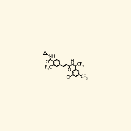 O=C(/C=C/c1ccc(C(=O)NC2CC2)c(C(F)(F)F)c1)NC(c1cc(Cl)cc(C(F)(F)F)c1)C(F)(F)F